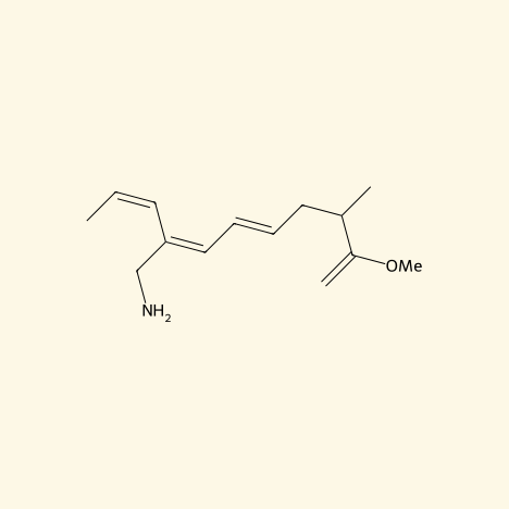 C=C(OC)C(C)C/C=C/C=C(\C=C/C)CN